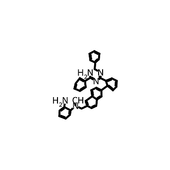 CN(Cc1ccc2cc(-c3ccccc3C(/N=C(\N)c3ccccc3)=N/Cc3ccccc3)ccc2c1)c1ccccc1N